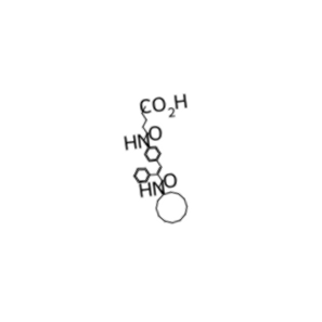 O=C(O)CCCC(=O)Nc1ccc(/C=C(/C(=O)NC2CCCCCCCCCCC2)c2ccccc2)cc1